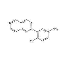 Nc1ccc(Cl)c(-c2ccc3cnccc3n2)c1